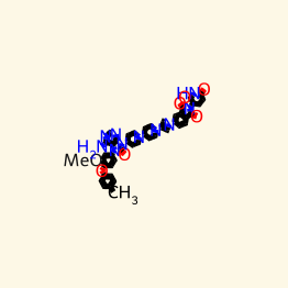 COc1cc(-n2c(=O)n(C3CCN(C4CCN(C5CN(c6ccc7c(c6)C(=O)N(C6CCC(=O)NC6=O)C7=O)C5)CC4)CC3)c3ncnc(N)c32)ccc1Oc1ccc(C)cc1